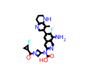 Cc1c(-c2cc3cc(N(C(=O)O)C4CN(C(=O)C5CC5F)C4)ncc3c(N)c2F)cnc2c1NCCC2